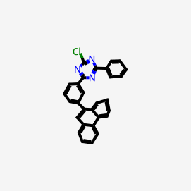 Clc1nc(-c2ccccc2)nc(-c2cccc(-c3cc4ccccc4c4ccccc34)c2)n1